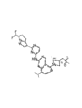 CC(C)c1ccc(N2C[C@H](CS(C)(=O)=O)[C@H]2C)c2cnc(Nc3ccnc(-c4cnn5c4CCC5C(F)F)n3)cc12